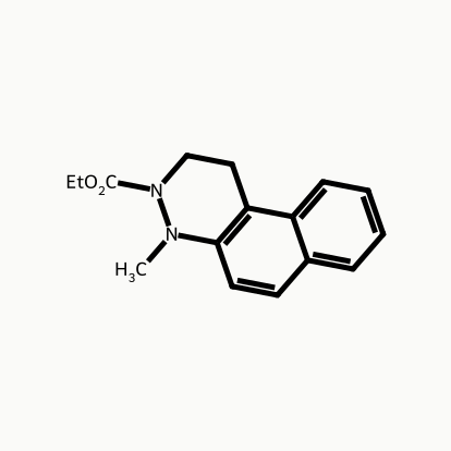 CCOC(=O)N1CCc2c(ccc3ccccc23)N1C